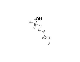 CC(C)(C)O.CCOCC